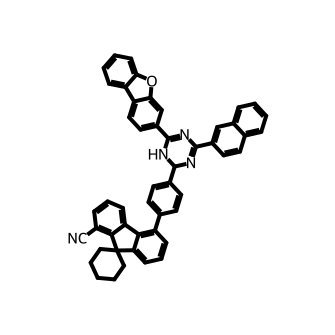 N#Cc1cccc2c1C1(CCCCC1)c1cccc(-c3ccc(C4N=C(c5ccc6ccccc6c5)N=C(c5ccc6c(c5)oc5ccccc56)N4)cc3)c1-2